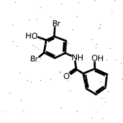 O=C(Nc1cc(Br)c(O)c(Br)c1)c1ccccc1O